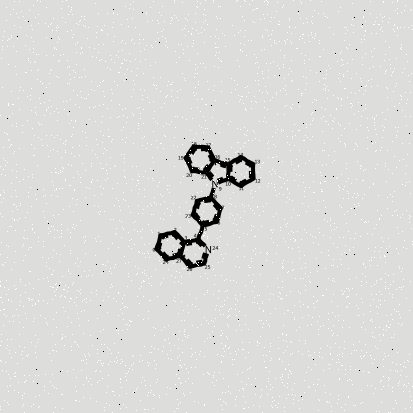 c1ccc2c(-c3ccc(-n4c5ccccc5c5ccccc54)cc3)nccc2c1